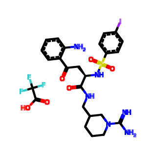 N=C(N)N1CCCC(CNC(=O)[C@@H](CC(=O)c2ccccc2N)NS(=O)(=O)c2ccc(I)cc2)C1.O=C(O)C(F)(F)F